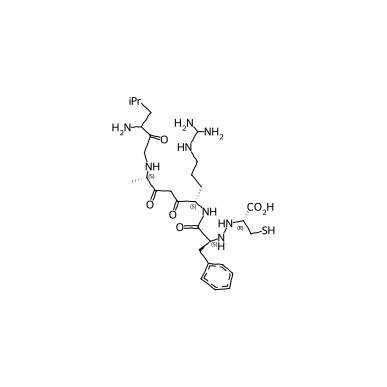 CC(C)CC(N)C(=O)CN[C@@H](C)C(=O)CC(=O)[C@H](CCCNC(N)N)NC(=O)[C@H](Cc1ccccc1)NN[C@@H](CS)C(=O)O